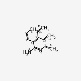 C=C/N=C(/N)C(/C=C\C)=C(C=C)C=C